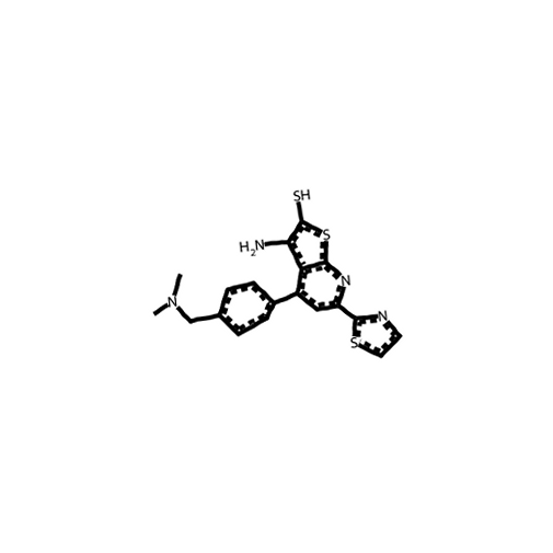 CN(C)Cc1ccc(-c2cc(-c3nccs3)nc3sc(S)c(N)c23)cc1